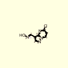 O/N=C/c1cnn2ccc(Cl)nc12